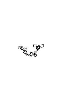 O=C(OCc1cc(Cl)cc(Cl)c1)N1CCC(CN2CCC(c3cnc[nH]3)CC2)CC1